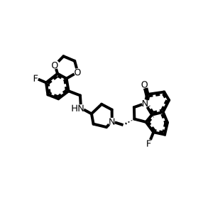 O=c1ccc2ccc(F)c3c2n1C[C@H]3CN1CCC(NCc2ccc(F)c3c2OCCO3)CC1